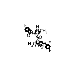 C[C@@H]1CN(CC(=O)N2CC(C)(C)c3nnc(Cc4ccc(F)cc4F)cc32)[C@@H](CN2Cc3cc(F)ccc3C2=O)CN1